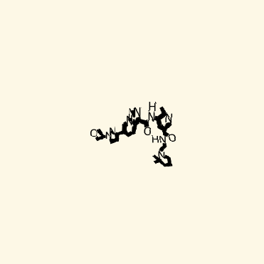 Cc1ncc(C(=O)NCCN2CCCC2(C)C)cc1NC(=O)c1nnn2cc(-c3ccn(C4COC4)n3)ccc12